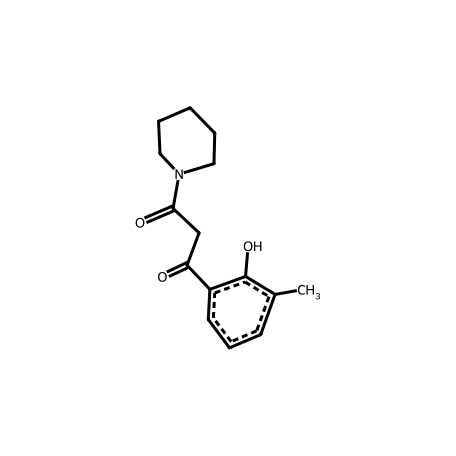 Cc1cccc(C(=O)CC(=O)N2CCCCC2)c1O